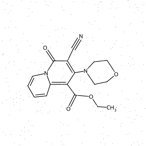 CCOC(=O)c1c(N2CCOCC2)c(C#N)c(=O)n2ccccc12